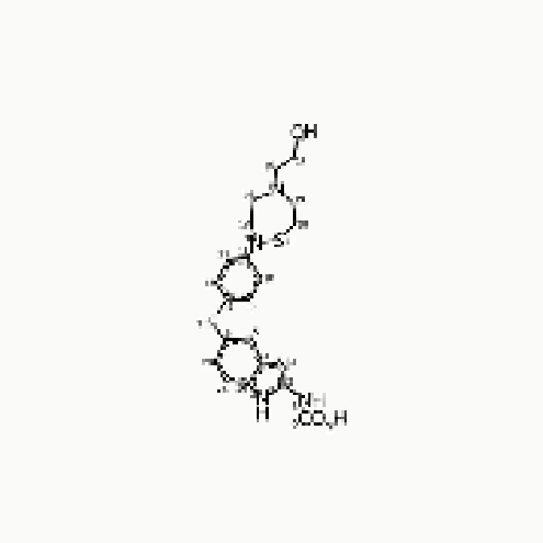 O=C(O)Nc1nc2cc(Sc3ccc(N4CCN(CCO)CCS4)cc3)ccc2[nH]1